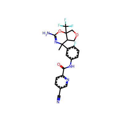 CC1(c2cc(NC(=O)c3ccc(C#N)cn3)ccc2F)N=C(N)OC2(C(F)(F)F)COCC12